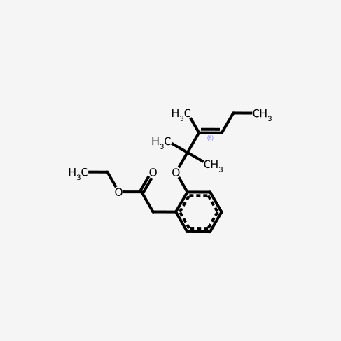 CC/C=C(\C)C(C)(C)Oc1ccccc1CC(=O)OCC